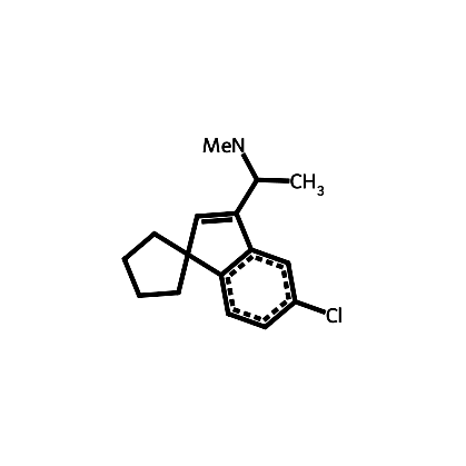 CNC(C)C1=CC2(CCCC2)c2ccc(Cl)cc21